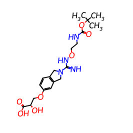 CC(C)(C)OC(=O)NCCONC(=N)N1Cc2ccc(OC[C@@H](O)C(=O)O)cc2C1